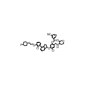 N#Cc1cncc(COc2cc(O[C@H]3CCc4c(-c5cccc(OCCCN6CCC(F)CC6)c5Cl)cccc43)c(Cl)cc2CN[C@@H]2CCOC[C@@H]2O)c1